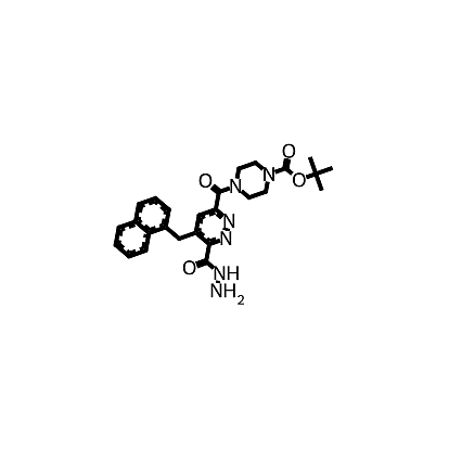 CC(C)(C)OC(=O)N1CCN(C(=O)c2cc(Cc3cccc4ccccc34)c(C(=O)NN)nn2)CC1